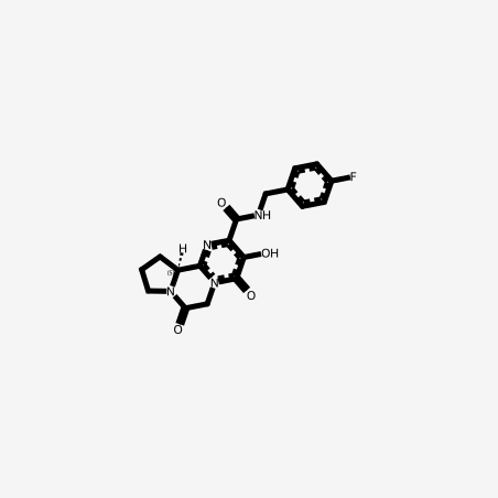 O=C(NCc1ccc(F)cc1)c1nc2n(c(=O)c1O)CC(=O)N1CCC[C@@H]21